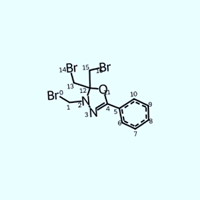 BrCN1N=C(c2ccccc2)OC1(CBr)CBr